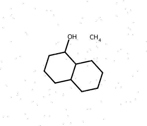 C.OC1CCCC2CCCCC12